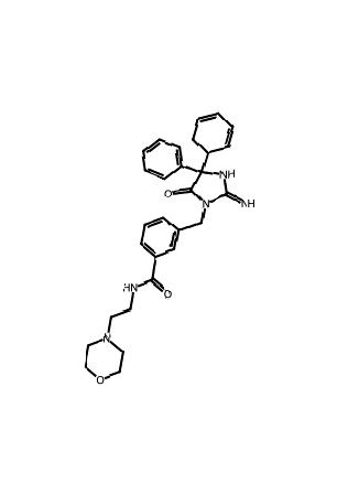 N=C1NC(c2ccccc2)(C2C=CC=CC2)C(=O)N1Cc1cccc(C(=O)NCCN2CCOCC2)c1